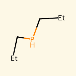 CC[CH]PCCC